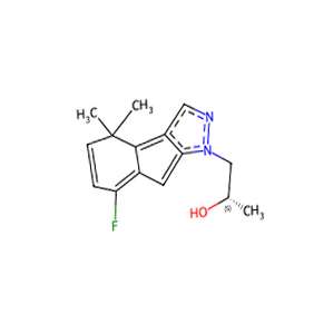 C[C@H](O)Cn1ncc2c1=CC1=C(F)C=CC(C)(C)C=21